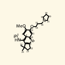 COc1cc2c(NC(C)C)c3c(nc2cc1OCCCN1CCCC1)CCC3(C)C